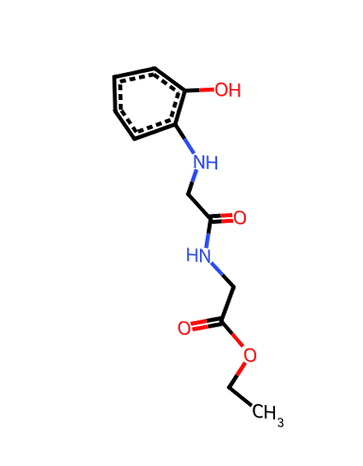 CCOC(=O)CNC(=O)CNc1ccccc1O